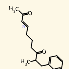 CC(=O)/C=C/CCCC(=O)C(C)Cc1ccccc1